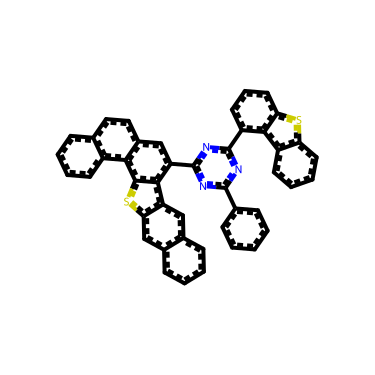 c1ccc(-c2nc(-c3cccc4sc5ccccc5c34)nc(-c3cc4ccc5ccccc5c4c4sc5cc6ccccc6cc5c34)n2)cc1